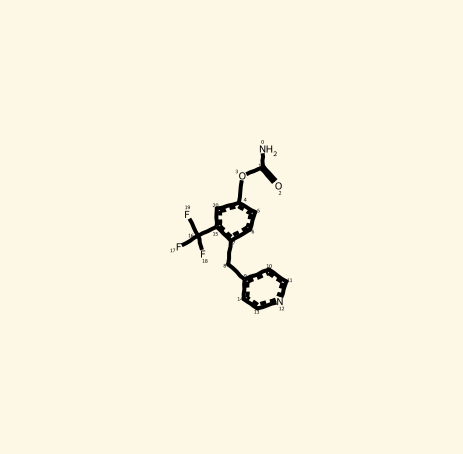 NC(=O)Oc1ccc(Cc2ccncc2)c(C(F)(F)F)c1